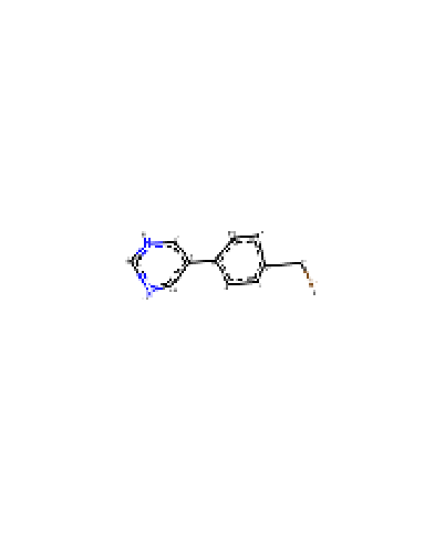 BrCc1ccc(-c2cncnc2)cc1